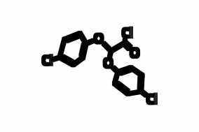 O=C(Cl)C(Oc1ccc(Cl)cc1)Oc1ccc(Cl)cc1